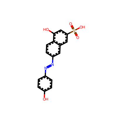 O=S(=O)(O)c1cc(O)c2ccc(N=Nc3ccc(O)cc3)cc2c1